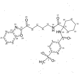 CS(=O)(=O)c1ccc(C(=O)NC2(C(=O)NCCCCC(=O)c3nc4ccccc4o3)CCCCC2)cc1